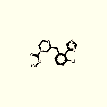 CC(C)(C)OC(=O)N1CCOC(Cc2cccc(Cl)c2-c2cncs2)C1